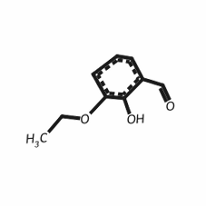 CCOc1cccc(C=O)c1O